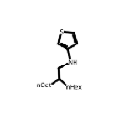 CCCCCCCCC(CCCCCC)CNc1ccsc1